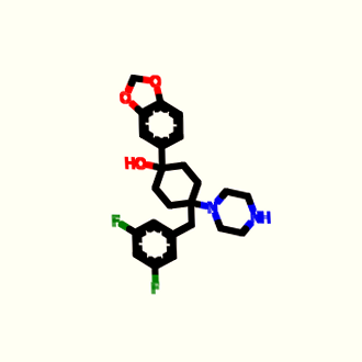 OC1(c2ccc3c(c2)OCO3)CCC(Cc2cc(F)cc(F)c2)(N2CCNCC2)CC1